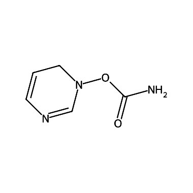 NC(=O)ON1C=NC=CC1